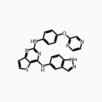 c1cnc(Oc2ccc(Nc3nc(Nc4ccc5[nH]ncc5c4)c4sccc4n3)cc2)cn1